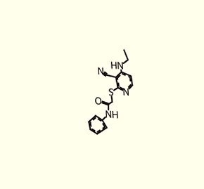 CCNc1ccnc(SCC(=O)Nc2ccccc2)c1C#N